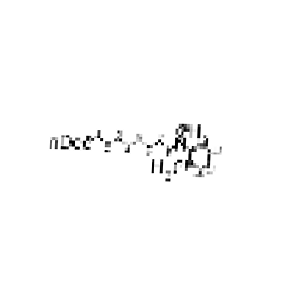 CCCCCCCCCCCCCCCCCCN(C)c1ccccc1C